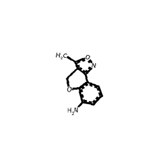 Cc1onc2c1COc1c(N)cccc1-2